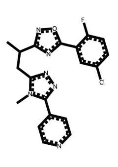 CC(Cc1nnc(-c2ccncc2)n1C)c1noc(-c2cc(Cl)ccc2F)n1